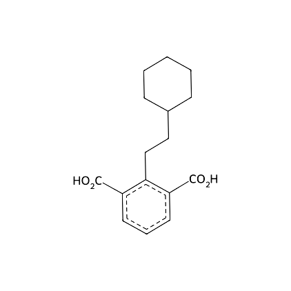 O=C(O)c1cccc(C(=O)O)c1CCC1CCCCC1